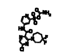 NC(=O)OS(=O)(=O)c1cc(NC(=O)c2ncc(Cl)nc2N2CCCC(F)(F)CC2)ccn1